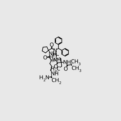 C=C(N)NCCC[C@H](NC(=O)C(CC)(CC)NC(=O)C(C)C)C(=O)NC1(C(=O)NC(c2ccccc2)c2ccccc2)CCCC1